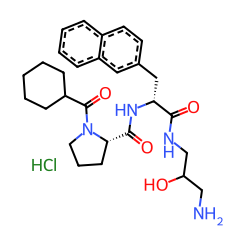 Cl.NCC(O)CNC(=O)[C@@H](Cc1ccc2ccccc2c1)NC(=O)[C@@H]1CCCN1C(=O)C1CCCCC1